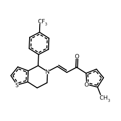 Cc1ccc(C(=O)C=CN2CCc3sccc3C2c2ccc(C(F)(F)F)cc2)o1